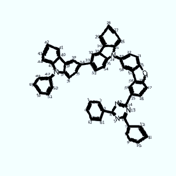 c1ccc(-c2nc(-c3ccccc3)nc(-c3ccc4oc5ccc(-n6c7ccccc7c7cc(-c8ccc9c(c8)c8ccccc8n9-c8ccccc8)ccc76)cc5c4c3)n2)cc1